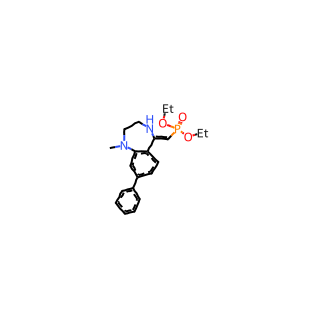 CCOP(=O)(C=C1NCCN(C)c2cc(-c3ccccc3)ccc21)OCC